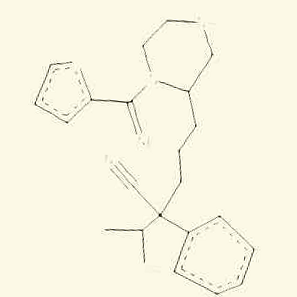 CC(C)C(C#N)(CCCC1CNCCN1C(=N)c1cccs1)c1ccccc1